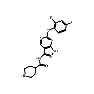 O=C(Nc1n[nH]c2nc(Oc3ccc(F)cc3F)ncc12)C1CCNCC1